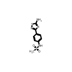 CS(=O)(=O)Nc1ccc(-c2nsc(N)n2)cc1